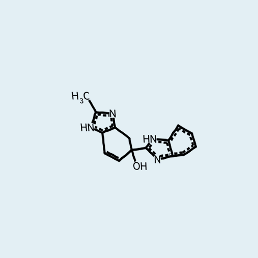 Cc1nc2c([nH]1)C=CC(O)(c1nc3ccccc3[nH]1)C2